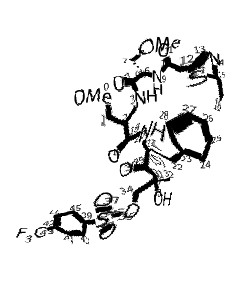 COCC(NC(=O)[C@H](COC)NC(=O)c1cnc(C)s1)C(=O)N[C@@H](Cc1ccccc1)C(=O)[C@](C)(O)COS(=O)(=O)c1ccc(C(F)(F)F)cc1